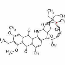 CC[Si](CC)(CC)O[C@H](C)[C@@]12O[C@]13c1cc(O)c4c(c1N[C@H]2C#C/C=C\C#C[C@H]3O)C(=O)c1cc(OC)c(CN)c(OC)c1C4=O